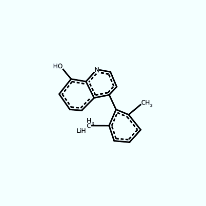 Cc1cccc(C)c1-c1ccnc2c(O)cccc12.[LiH]